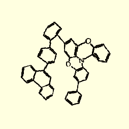 c1ccc(-c2ccc3c(c2)Oc2cc(-c4ccccc4-c4ccc(-c5cc6ccccc6c6ccccc56)cc4)cc4c2N3c2ccccc2O4)cc1